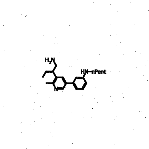 C/C=C(/CN)c1cc(-c2cccc(NCCCCC)c2)cnc1C